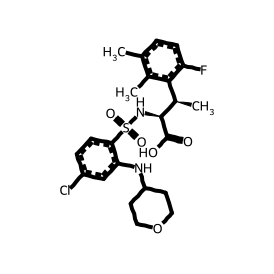 Cc1ccc(F)c([C@@H](C)[C@H](NS(=O)(=O)c2ccc(Cl)cc2NC2CCOCC2)C(=O)O)c1C